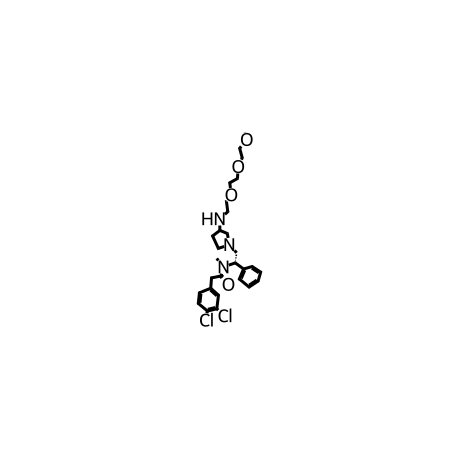 COCCOCCOCCNC1CCN(C[C@H](c2ccccc2)N(C)C(=O)Cc2ccc(Cl)c(Cl)c2)C1